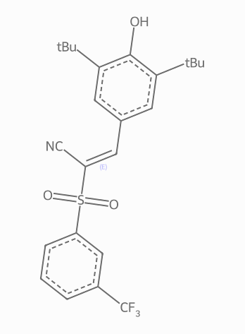 CC(C)(C)c1cc(/C=C(\C#N)S(=O)(=O)c2cccc(C(F)(F)F)c2)cc(C(C)(C)C)c1O